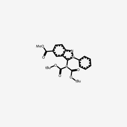 COC(=O)c1ccc2nn(-c3ccccc3)c(N(C(=O)OC(C)(C)C)C(=O)OC(C)(C)C)c2c1